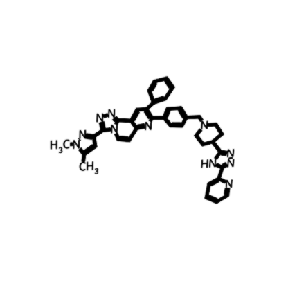 Cc1cc(-c2nnc3c4cc(-c5ccccc5)c(-c5ccc(CN6CCC(c7nnc(-c8ccccn8)[nH]7)CC6)cc5)nc4ccn23)nn1C